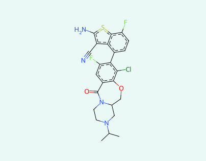 CC(C)N1CCN2C(=O)c3cc(F)c(-c4ccc(F)c5sc(N)c(C#N)c45)c(Cl)c3OCC2C1